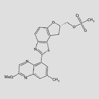 COc1cnc2c(-c3nc4ccc5c(c4s3)C[C@@H](COS(C)(=O)=O)O5)cc(C)cc2n1